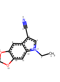 CCn1cc(C#N)c2cc3c(cc21)OCO3